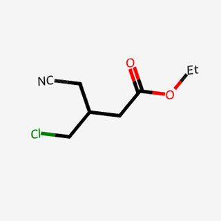 CCOC(=O)CC(CCl)CC#N